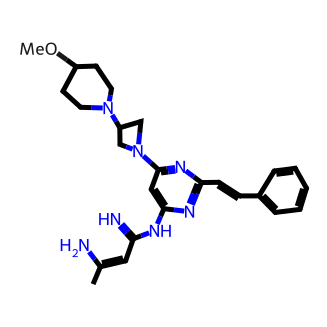 COC1CCN(C2CN(c3cc(NC(=N)/C=C(/C)N)nc(/C=C/c4ccccc4)n3)C2)CC1